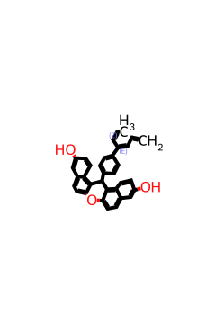 C=C/C=C(\C=C/C)c1ccc(C2c3c(ccc4cc(O)ccc34)Oc3ccc4cc(O)ccc4c32)cc1